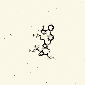 CCCCc1cn(-c2c(C(=O)OC)cnn2C(C)C)c(=O)n1Cc1ccc(-c2ccccc2-c2nnn[nH]2)nc1